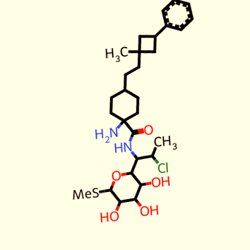 CSC1OC(C(NC(=O)C2(N)CCC(CCC3(C)CC(c4ccccc4)C3)CC2)C(C)Cl)C(O)C(O)C1O